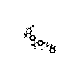 COc1cc(N(C(C)=O)c2ccc(C(CC(=O)O)N(C)S(C)(=O)=O)cc2)ccc1NC(=O)Nc1ccccc1C